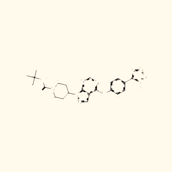 CC(C)(C)OC(=O)N1CCC(n2ncc3c(Oc4ccc(-c5nnn[nH]5)cc4)ncnc32)CC1